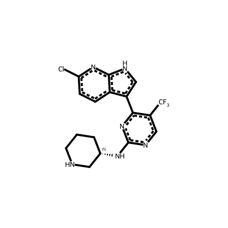 FC(F)(F)c1cnc(N[C@H]2CCCNC2)nc1-c1c[nH]c2nc(Cl)ccc12